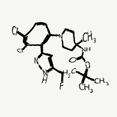 CC1(NC(=O)OC(C)(C)C)CCN(c2ccc(Cl)c(Cl)c2-c2cc(CF)[nH]n2)CC1